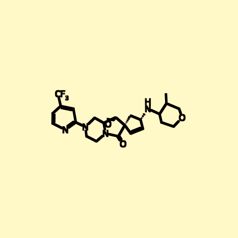 CC1COCCC1N[C@@H]1C=C[C@@]2(C1)C(=O)N1CCN(c3cc(C(F)(F)F)ccn3)CC13OCCC32